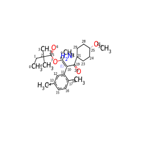 CCC(C)(C)C(=O)O/C(C)=C(\c1cc(C)ccc1C)C(=O)[C@]1(N)CC[C@@H](OC)CC1